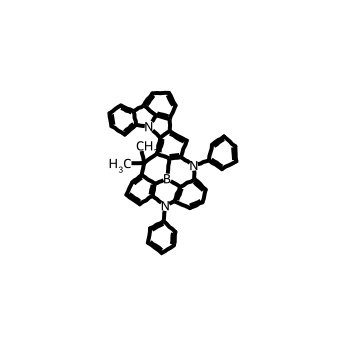 CC1(C)c2cccc3c2B2c4c(cccc4N(c4ccccc4)c4cc5c6cccc7c8ccccc8n(c5c1c42)c76)N3c1ccccc1